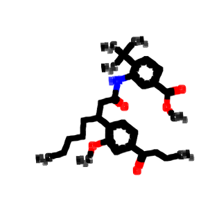 CCCCCC(CC(=O)Nc1cc(C(=O)OC)ccc1C(C)(C)C)c1ccc(C(=O)CCC)cc1OC